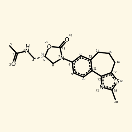 CC(=O)NC[C@H]1CN(c2ccc3c(c2)CCCc2sc(C)nc2-3)C(=O)O1